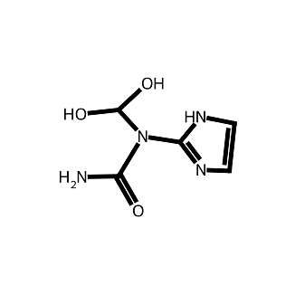 NC(=O)N(c1ncc[nH]1)C(O)O